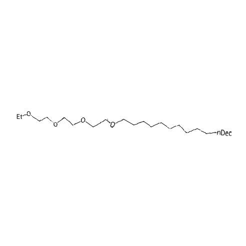 CCCCCCCCCCCCCCCCCCCCO[CH]COCCOCCOCC